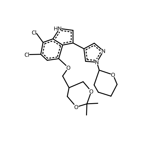 CC1(C)OCC(COc2cc(Cl)c(Cl)c3[nH]cc(-c4cnn(C5CCCCO5)c4)c23)CO1